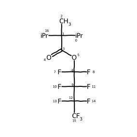 CC(C)C(C)(C(=O)OC(F)(F)C(F)(F)C(F)(F)C(F)(F)F)C(C)C